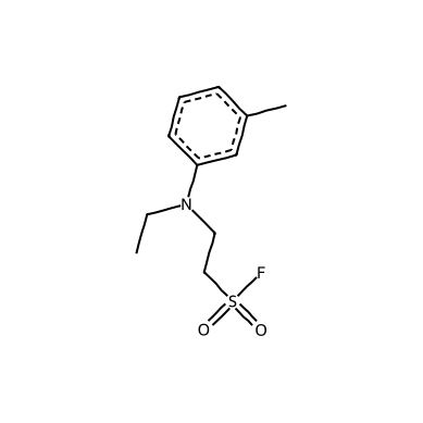 CCN(CCS(=O)(=O)F)c1cccc(C)c1